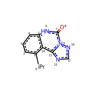 CC(C)c1cccc2[nH]c(=O)n3ncnc3c12